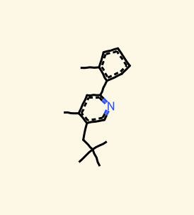 Cc1cc(-c2ccccc2C)ncc1CC(C)(C)C